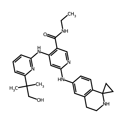 CCNC(=O)c1cnc(Nc2ccc3c(c2)CCNC32CC2)cc1Nc1cccc(C(C)(C)CO)n1